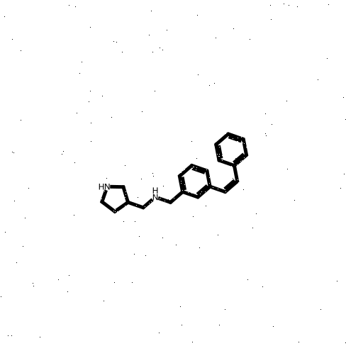 C(=C/c1cccc(CNCC2CCNC2)c1)/c1ccccc1